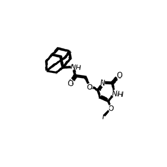 O=C(COc1cc(OI)[nH]c(=O)n1)NC12CC3CC(CC(C3)C1)C2